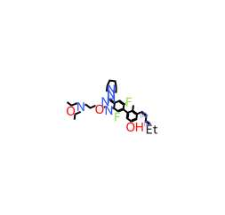 CC/C=C/C=C\c1cc(O)cc(-c2c(F)cc3c(N4CC5CCC(C4)N5)nc(OCCCN4CC(C)OC(C)C4)nc3c2F)c1C